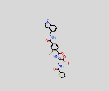 O=C(NC[C@H](NC(=O)c1ccc(C(=O)NCc2cccc3c2CCN3)cc1Br)C(=O)O)C1=CCCS1